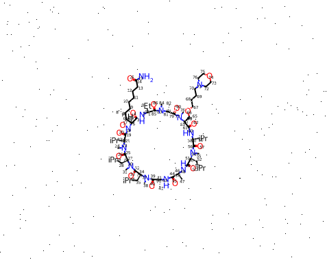 CC[C@@H]1NC(=O)[C@@H]2[C@@H]([C@H](C)CCCCCC(N)=O)ON2C(=O)[C@H](C(C)C)N(C)C(=O)[C@H](CC(C)C)N(C)C(=O)[C@H](CC(C)C)N(C)C(=O)[C@@H](C)NC(=O)[C@H](C)NC(=O)[C@H](CC(C)C)N(C)C(=O)[C@H](C(C)C)NC(=O)[C@H]([C@@H](C)OCCCCN2CCOCC2)N(C)C(=O)[C@@H](C)N(C)C1=O